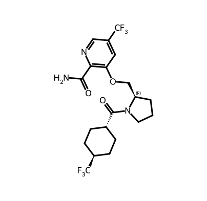 NC(=O)c1ncc(C(F)(F)F)cc1OC[C@H]1CCCN1C(=O)[C@H]1CC[C@H](C(F)(F)F)CC1